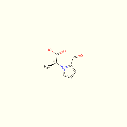 C[C@@H](C(=O)O)n1cccc1C=O